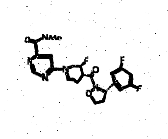 CNC(=O)c1cc(N2CC[C@H](C(=O)N3OCC[C@H]3c3cc(F)cc(F)c3)[C@H](F)C2)ncn1